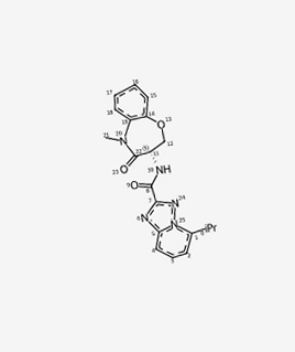 CC(C)c1cccc2nc(C(=O)N[C@H]3COc4ccccc4N(C)C3=O)nn12